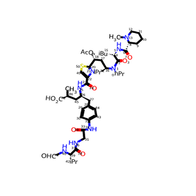 CCCN(C(=O)[C@@H](NC(=O)[C@H]1CCCCN1C)[C@@H](C)CC)[C@H](C[C@@H](OC(C)=O)c1nc(C(=O)N[C@@H](Cc2ccc(NC(=O)CNC(=O)[C@@H](NC=O)C(C)C)cc2)C[C@H](C)C(=O)O)cs1)C(C)C